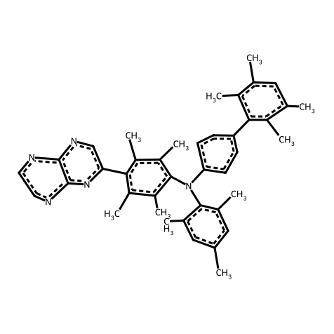 Cc1cc(C)c(N(c2ccc(-c3c(C)c(C)cc(C)c3C)cc2)c2c(C)c(C)c(-c3cnc4nccnc4n3)c(C)c2C)c(C)c1